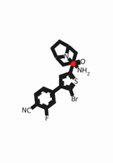 N#Cc1ccc(-c2cc(C(=O)N3C4CCC3CC(N)C4)sc2Br)cc1F